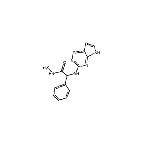 CNC(=O)C(Nc1ncc2cc[nH]c2n1)c1ccccc1